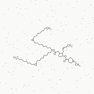 CC/C=C\CC1C(CC(=O)OC(CCCCCCCCC2CC2CCCCCCCC)CCCCCCCCC2CC2CCCCCCCC)CCC1OC(=O)C1CCN(CC)CC1